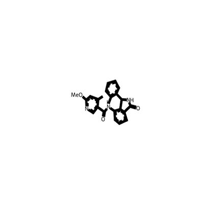 COc1cc(C)c(C(=O)Nc2cccc3c2C(c2ccccc2C)NC3=O)cn1